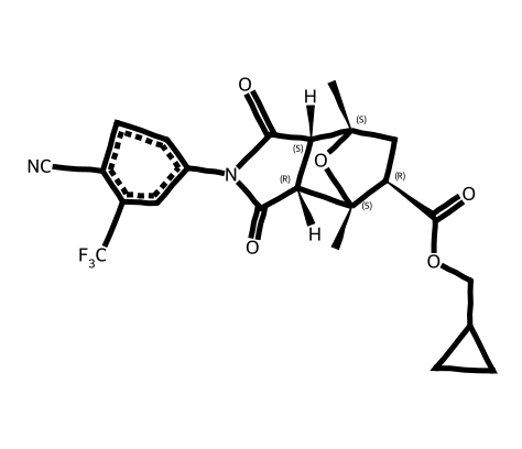 C[C@@]12O[C@@](C)(C[C@H]1C(=O)OCC1CC1)[C@H]1C(=O)N(c3ccc(C#N)c(C(F)(F)F)c3)C(=O)[C@H]12